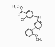 COC(=O)c1ccc(Nc2cc(-c3ccccc3OC)ncn2)cc1Cl